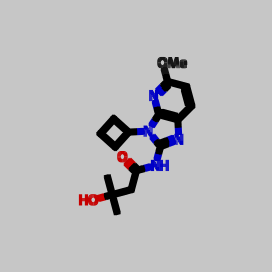 COc1ccc2nc(NC(=O)CC(C)(C)O)n(C3CCC3)c2n1